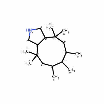 CC1CC(C)(C)C2CNCC2C(C)(C)CC(C)C1C